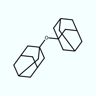 C1C2CC3CC1CC(OC14CC5CC(CC(C5)C1)C4)(C2)C3